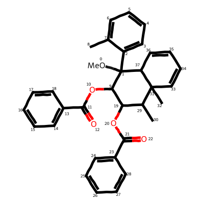 COC1(c2ccccc2C)C(OC(=O)c2ccccc2)C(OC(=O)c2ccccc2)C(C)C2(C)C=CC=CC21